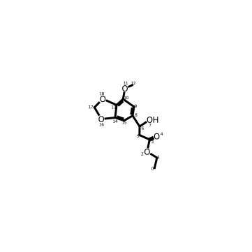 CCOC(=O)CC(O)c1cc(OC)c2c(c1)OCO2